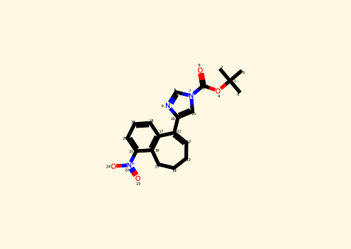 CC(C)(C)OC(=O)n1cnc(C2=CCCCc3c2cccc3[N+](=O)[O-])c1